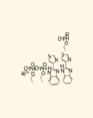 CCO[PH](=O)[O-].CCO[PH](=O)[O-].CCO[PH](=O)[O-].[Al+3].c1ccc2[nH]c(-c3cscn3)nc2c1.c1ccc2[nH]c(-c3cscn3)nc2c1